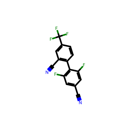 N#Cc1cc(F)c(-c2ccc(C(F)(F)F)cc2C#N)c(F)c1